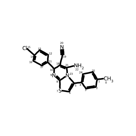 Cc1ccc(C2=CSC3=NC(c4ccc(Cl)cc4)C(C#N)=C(N)N23)cc1